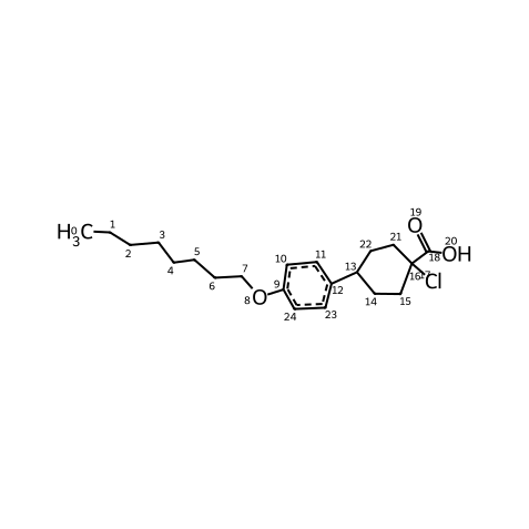 CCCCCCCCOc1ccc(C2CCC(Cl)(C(=O)O)CC2)cc1